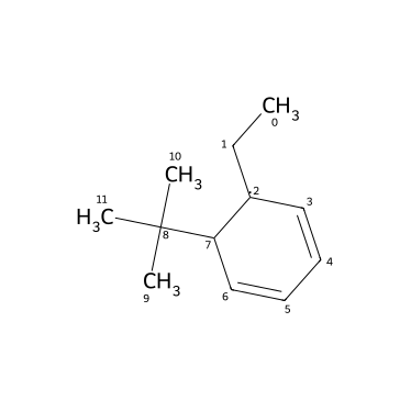 CC[C]1C=CC=CC1C(C)(C)C